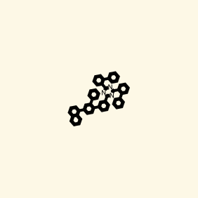 c1ccc(-c2cc(-c3cccc4ccccc34)ccc2-c2cccc(-c3nc(-c4ccccc4-c4ccccc4)nc(-c4ccccc4-c4ccccc4)n3)c2)cc1